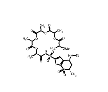 CCN[C@H]1C[C@H](C)S(=O)(=O)c2sc(S(=O)(=O)NC(=O)C(C)OC(=O)C(C)OC(=O)C(C)OC(=O)C(C)OC(=O)C(C)OC)cc21